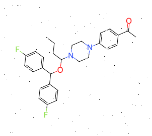 CCCC(OC(c1ccc(F)cc1)c1ccc(F)cc1)N1CCN(c2ccc(C(C)=O)cc2)CC1